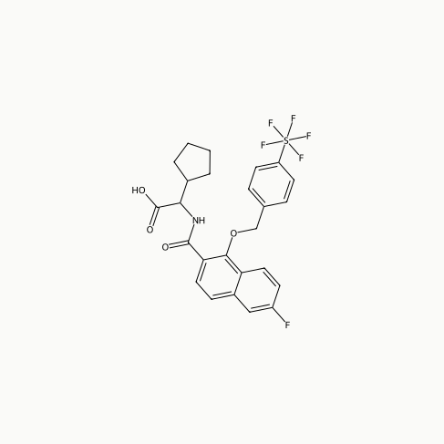 O=C(NC(C(=O)O)C1CCCC1)c1ccc2cc(F)ccc2c1OCc1ccc(S(F)(F)(F)(F)F)cc1